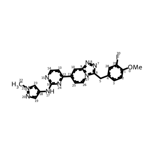 COc1ccc(Cc2nnc3cc(-c4ccnc(Nc5cnn(C)c5)n4)ccn23)cc1F